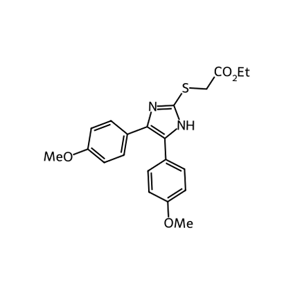 CCOC(=O)CSc1nc(-c2ccc(OC)cc2)c(-c2ccc(OC)cc2)[nH]1